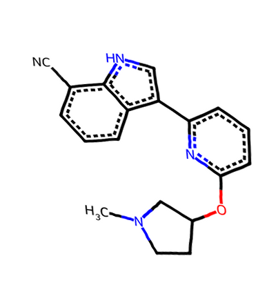 CN1CCC(Oc2cccc(-c3c[nH]c4c(C#N)cccc34)n2)C1